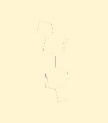 c1cc2c(cc1-c1ccc3c(c1)OCC3)COC2